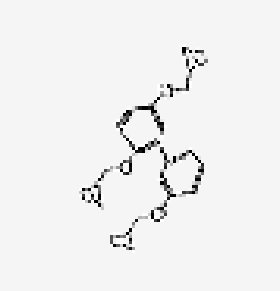 c1cc(OCC2CO2)cc(-c2cc(OCC3CO3)ccc2OCC2CO2)c1